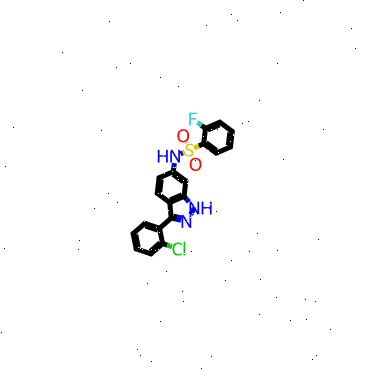 O=S(=O)(Nc1ccc2c(-c3ccccc3Cl)n[nH]c2c1)c1ccccc1F